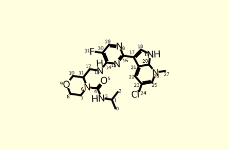 CC(C)NC(=O)N1CCOCC1CNc1nc(C2=CNC3C2=CC(Cl)=CN3C)ncc1F